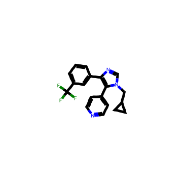 FC(F)(F)c1cccc(-c2ncn(CC3CC3)c2-c2ccncc2)c1